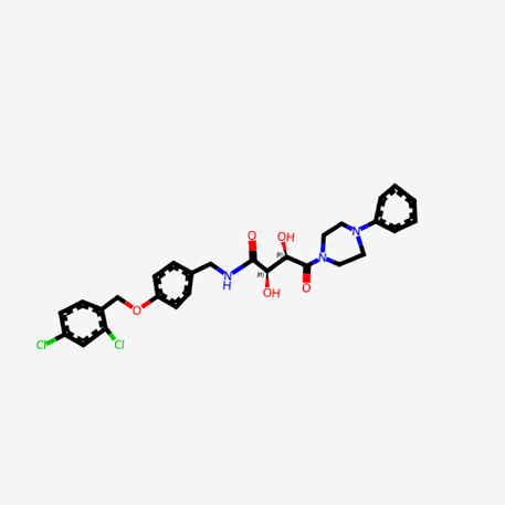 O=C(NCc1ccc(OCc2ccc(Cl)cc2Cl)cc1)[C@H](O)[C@@H](O)C(=O)N1CCN(c2ccccc2)CC1